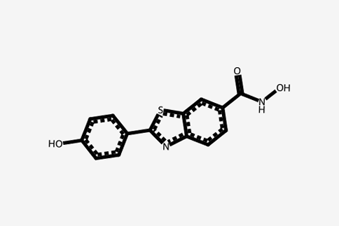 O=C(NO)c1ccc2nc(-c3ccc(O)cc3)sc2c1